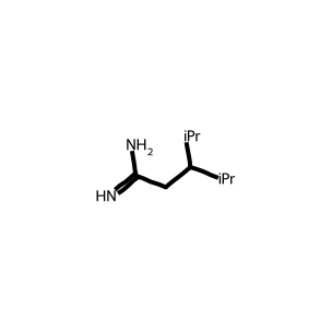 CC(C)C(CC(=N)N)C(C)C